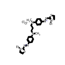 CC[n+]1ccsc1/N=N/c1ccc(N(C)CCCN(C)c2ccc(/N=N/c3scc[n+]3CC)cc2)cc1.[Cl-].[Cl-]